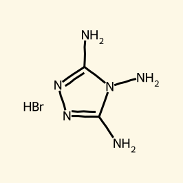 Br.Nc1nnc(N)n1N